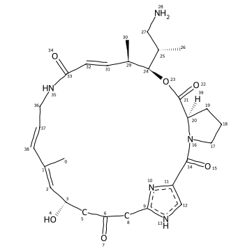 CC1=C\[C@@H](O)CC(=O)Cc2nc(c[nH]2)C(=O)N2CCC[C@@H]2C(=O)O[C@H]([C@@H](C)CN)[C@H](C)/C=C/C(=O)NC\C=C\1